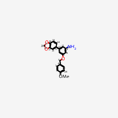 COc1ccc(COc2cc(N)cc(-c3ccc4c(c3)OCO4)c2)cc1